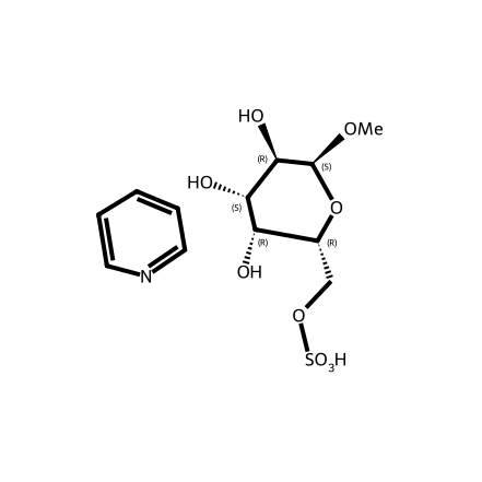 CO[C@H]1O[C@H](COS(=O)(=O)O)[C@H](O)[C@H](O)[C@H]1O.c1ccncc1